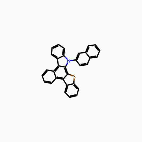 c1ccc2cc(-n3c4ccccc4c4c5ccccc5c5c6ccccc6sc5c43)ccc2c1